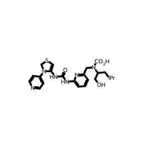 CC(C)CC(CO)N(Cc1cccc(NC(=O)NC2=CSCN2c2ccncc2)n1)C(=O)O